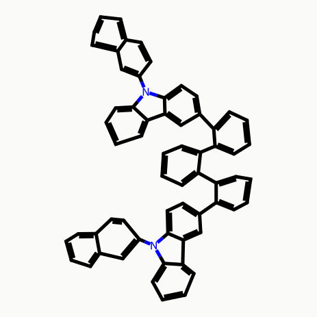 c1ccc(-c2ccccc2-c2ccccc2-c2ccc3c(c2)c2ccccc2n3-c2ccc3ccccc3c2)c(-c2ccc3c(c2)c2ccccc2n3-c2ccc3ccccc3c2)c1